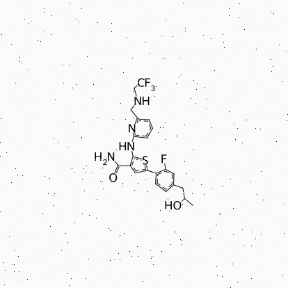 CC(O)Cc1ccc(-c2cc(C(N)=O)c(Nc3cccc(CNCC(F)(F)F)n3)s2)c(F)c1